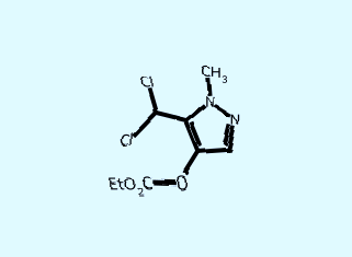 CCOC(=O)Oc1cnn(C)c1C(Cl)Cl